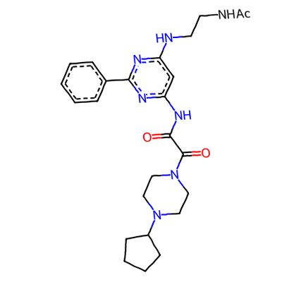 CC(=O)NCCNc1cc(NC(=O)C(=O)N2CCN(C3CCCC3)CC2)nc(-c2ccccc2)n1